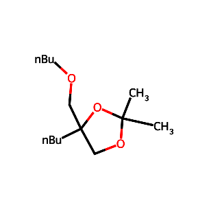 CCCCOCC1(CCCC)COC(C)(C)O1